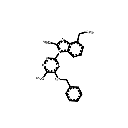 COCc1cccc2c1nc(OC)n2-c1nnc(OC)c(NCc2ccccc2)n1